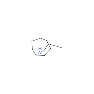 CC1CNC2CCCC1CC2